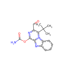 CC(C)(C)c1c(C=O)nc(OC(N)=O)c2nc3ccccc3n12